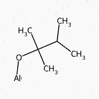 CC(C)C(C)(C)[O][Al]